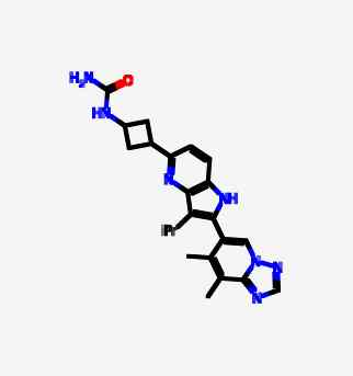 Cc1c(-c2[nH]c3ccc(C4CC(NC(N)=O)C4)nc3c2C(C)C)cn2ncnc2c1C